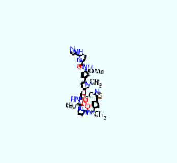 COc1cc([C@@H]2CC[C@H](OCC(=O)N[C@H](C(=O)N3CCC[C@H]3C(=O)N[C@@H](C)c3ccc(-c4scnc4C)cc3)C(C)(C)C)CN2C)ccc1NC(=O)c1cccc(-c2ccn[nH]2)n1